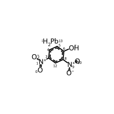 O=[N+]([O-])c1ccc(O)c([N+](=O)[O-])c1.[PbH2]